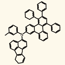 Cc1cccc(N(c2ccc3c(c2)c2ccccc2c2c(-c4ccccc4)cc(-c4ccccc4)c(C4=CC=CCC4)c32)c2ccc3c4c(cccc24)C2=C3C=CCC2)c1